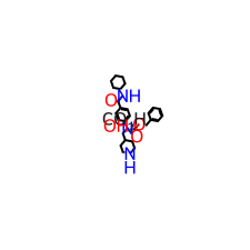 O=C(NC1CCCCC1)c1ccc(N(CC2CCNCC2)C(=O)OCc2ccccc2)cc1.O=C(O)O